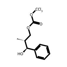 C[C@H](COC(=O)OC(Cl)(Cl)Cl)[C@H](O)c1ccccc1